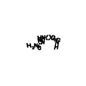 NC(=O)c1cnc(Nc2ccc(OC[C@@H]3CCCN3)cc2)nc1